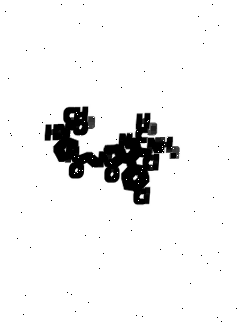 CC(=O)N[C@H]1CCN(C(=O)CCN2Cc3nc(C)c(CN)c(-c4ccc(Cl)cc4Cl)c3C2=O)C1